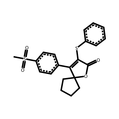 CS(=O)(=O)c1ccc(C2=C(Sc3ccccc3)C(=O)OC23CCCC3)cc1